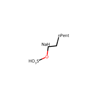 CCCCCCCOS(=O)(=O)O.[NaH]